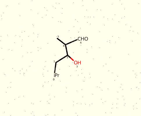 CC(C)CC(O)C(C)C=O